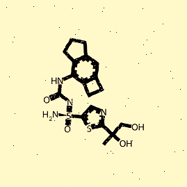 CC(O)(CO)c1ncc([S@](N)(=O)=NC(=O)Nc2c3c(cc4c2CC4)CCC3)s1